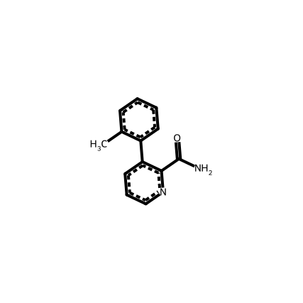 Cc1ccccc1-c1cccnc1C(N)=O